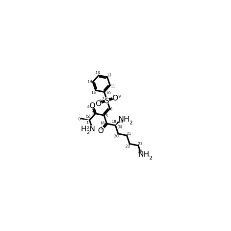 C[C@H](N)C(=O)C(=CS(=O)(=O)c1ccccc1)C(=O)[C@@H](N)CCCCN